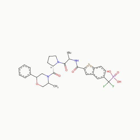 CC1COC(c2ccccc2)CN1C(=O)[C@@H]1CCCN1C(=O)C(NC(=O)c1cc2cc(C(F)(F)P(=O)(O)O)ccc2s1)C(C)(C)C